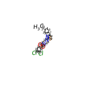 CCCc1ccc(Cc2csc(N3CCN(S(=O)(=O)c4ccc(Cl)c(Cl)c4)CC3)n2)cc1